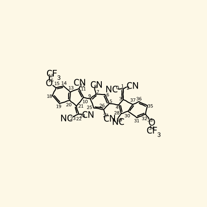 N#CC(C#N)=C1C(c2cc(C#N)c(C3=C(C#N)c4cc(OC(F)(F)F)ccc4C3=C(C#N)C#N)cc2C#N)=C(C#N)c2cc(OC(F)(F)F)ccc21